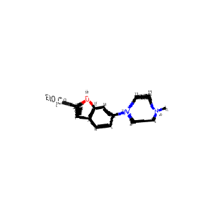 CCOC(=O)c1cc2ccc(N3CCN(C)CC3)cc2o1